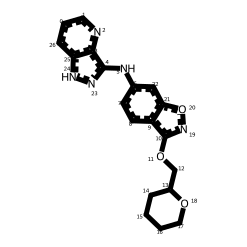 c1cnc2c(Nc3ccc4c(OCC5CCCCO5)noc4c3)n[nH]c2c1